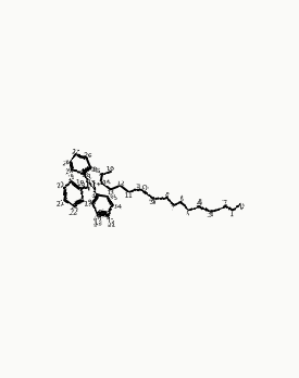 CCCCCCCCCCCCCCC(CC)[N+](c1ccccc1)(c1ccccc1)c1ccccc1